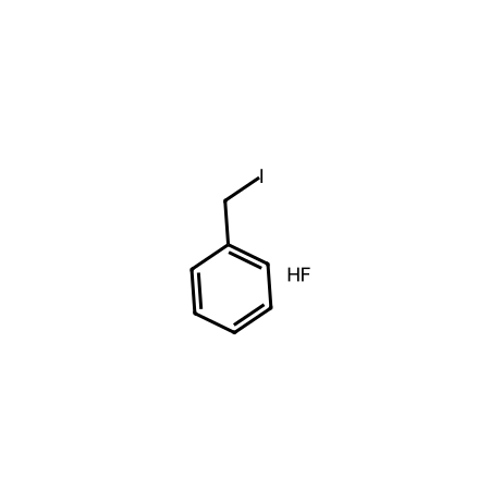 F.ICc1ccccc1